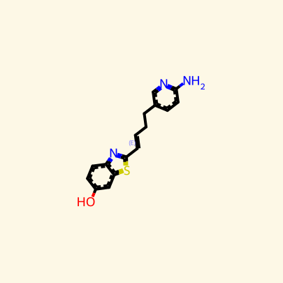 Nc1ccc(CC/C=C/c2nc3ccc(O)cc3s2)cn1